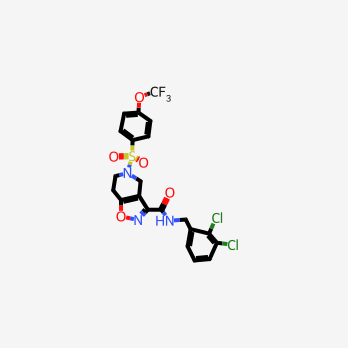 O=C(NCc1cccc(Cl)c1Cl)c1noc2c1CN(S(=O)(=O)c1ccc(OC(F)(F)F)cc1)CC2